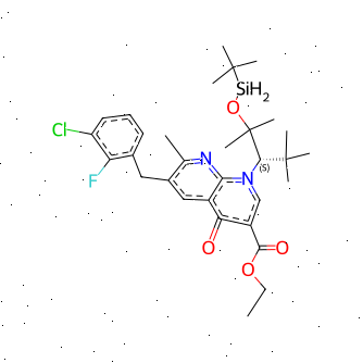 CCOC(=O)c1cn([C@@H](C(C)(C)C)C(C)(C)O[SiH2]C(C)(C)C)c2nc(C)c(Cc3cccc(Cl)c3F)cc2c1=O